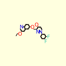 CCOc1cnc2ccc(OCc3nn(-c4ccc(F)c(F)c4)ccc3=O)cc2c1